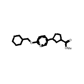 COC(=O)C1CCC(c2ccc(OCC3CCCCC3)nc2)C1